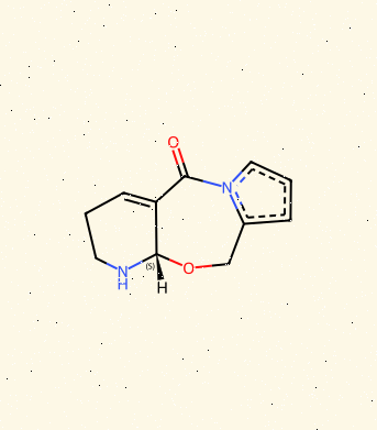 O=C1C2=CCCN[C@H]2OCc2cccn21